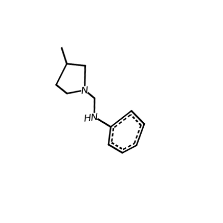 CC1CCN(CNc2ccccc2)C1